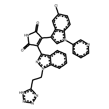 O=C1NC(=O)C(c2nn(CCc3nnn[nH]3)c3ccccc23)=C1c1cn(-c2cccnc2)c2ccc(Cl)cc12